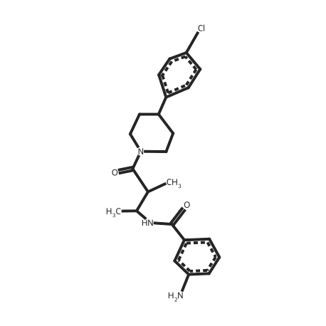 CC(NC(=O)c1cccc(N)c1)C(C)C(=O)N1CCC(c2ccc(Cl)cc2)CC1